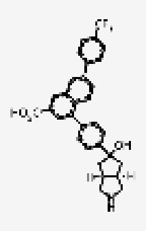 O=C(O)c1cc(-c2ccc(C3(O)C[C@H]4CNC[C@@H]4C3)cc2)c2ccc(-c3ccc(C(F)(F)F)cc3)cc2c1